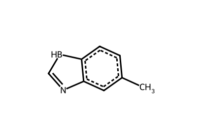 Cc1ccc2c(c1)N=CB2